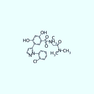 CN(C)C(=O)CN(C)S(=O)(=O)c1cc(-c2ccnn2-c2ccccc2Cl)c(O)cc1O